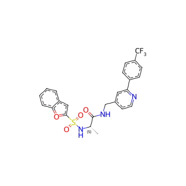 C[C@H](NS(=O)(=O)c1cc2ccccc2o1)C(=O)NCc1ccnc(-c2ccc(C(F)(F)F)cc2)c1